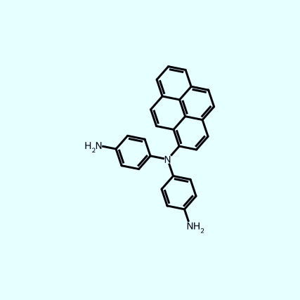 Nc1ccc(N(c2ccc(N)cc2)c2ccc3ccc4cccc5ccc2c3c45)cc1